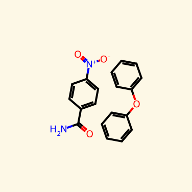 NC(=O)c1ccc([N+](=O)[O-])cc1.c1ccc(Oc2ccccc2)cc1